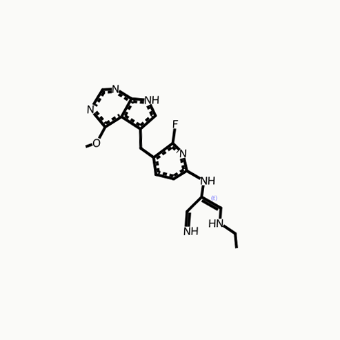 CCN/C=C(\C=N)Nc1ccc(Cc2c[nH]c3ncnc(OC)c23)c(F)n1